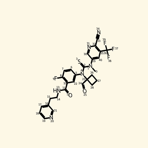 CN(C(=S)N(c1ccc(F)c(C(=O)NCCc2cccnc2)c1)C1(C=O)CCC1)c1cnc(C#N)c(C(F)(F)F)c1